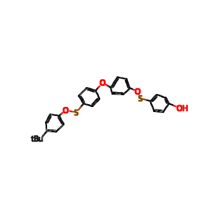 CC(C)(C)c1ccc(OSc2ccc(Oc3ccc(OSc4ccc(O)cc4)cc3)cc2)cc1